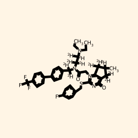 [2H]C([2H])(c1ccc(-c2ccc(C(F)(F)F)cc2)cc1)N(C(=O)Cn1c(SCc2ccc(F)cc2)nc(=O)c2c1C([2H])([2H])C([2H])(C)C2([2H])[2H])C([2H])([2H])C([2H])([2H])N(CC)CC